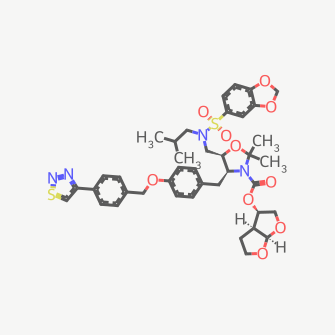 CC(C)CN(C[C@H]1OC(C)(C)N(C(=O)O[C@H]2CO[C@H]3OCC[C@H]32)[C@H]1Cc1ccc(OCc2ccc(-c3csnn3)cc2)cc1)S(=O)(=O)c1ccc2c(c1)OCO2